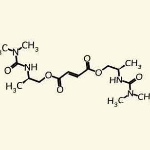 C[C@H](COC(=O)/C=C/C(=O)OC[C@@H](C)NC(=O)N(C)C)NC(=O)N(C)C